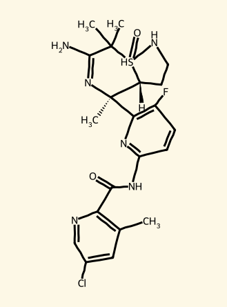 Cc1cc(Cl)cnc1C(=O)Nc1ccc(F)c([C@@]2(C)N=C(N)C(C)(C)[SH]3(=O)NCC[C@H]23)n1